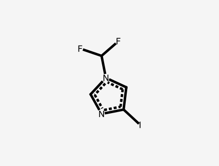 FC(F)n1cnc(I)c1